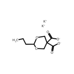 CCCC1OCC(C(=O)[O-])(C(=O)[O-])CO1.[K+].[K+]